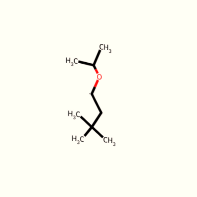 CC(C)O[CH]CC(C)(C)C